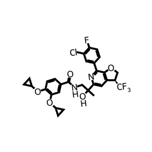 CC(O)(CNC(=O)c1ccc(OC2CC2)c(OC2CC2)c1)c1cc2c(c(-c3ccc(F)c(Cl)c3)n1)OC[C@H]2C(F)(F)F